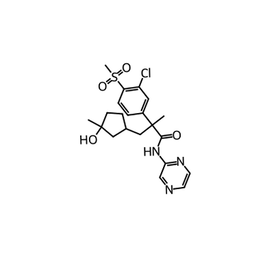 CC1(O)CCC(CC(C)(C(=O)Nc2cnccn2)c2ccc(S(C)(=O)=O)c(Cl)c2)C1